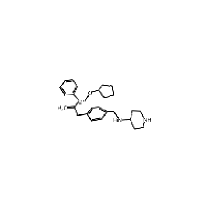 C=C(Cc1ccc(CNC2CCNCC2)cc1)[C@@H](COC1CCCC1)c1ccccc1